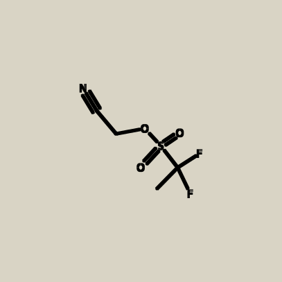 CC(F)(F)S(=O)(=O)OCC#N